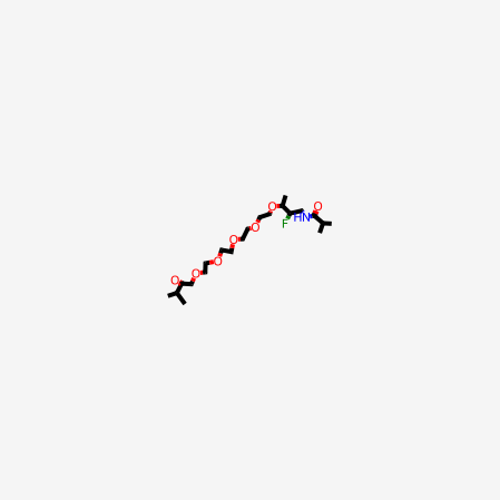 CC(C)C(=O)COCCOCCOCCOCCOC(C)C(F)CNC(=O)C(C)C